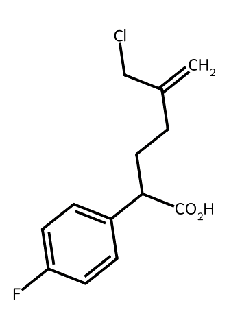 C=C(CCl)CCC(C(=O)O)c1ccc(F)cc1